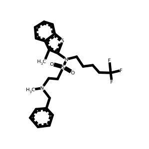 Cc1c(N(CCCCC(F)(F)F)S(=O)(=O)CCN(C)Cc2ccccc2)sc2ccccc12